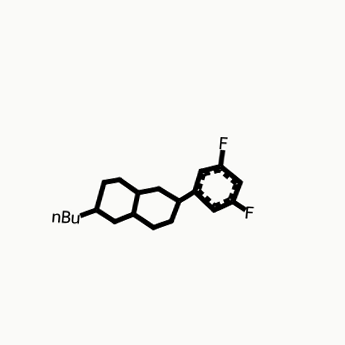 CCCCC1CCC2CC(c3cc(F)cc(F)c3)CCC2C1